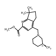 COC(=O)c1cc(CN2CCC[C@H](C)C2)c2c(n1)C(C)(C)CC2